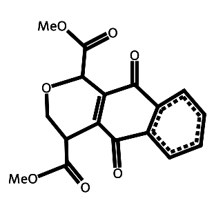 COC(=O)C1COC(C(=O)OC)C2=C1C(=O)c1ccccc1C2=O